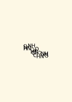 N=C(Nc1ccc(NC(=O)c2ccc(NC(=N)c3ccccn3)cc2Cl)c(Cl)c1)c1ccccn1